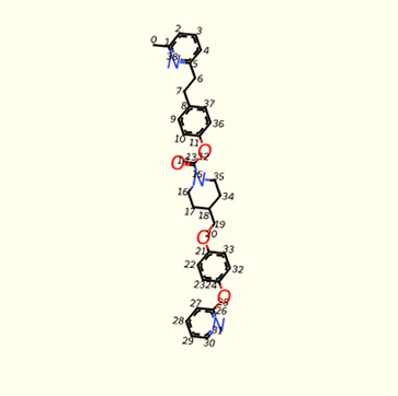 Cc1cccc(CCc2ccc(OC(=O)N3CCC(COc4ccc(Oc5ccccn5)cc4)CC3)cc2)n1